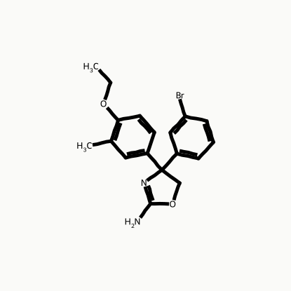 CCOc1ccc(C2(c3cccc(Br)c3)COC(N)=N2)cc1C